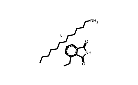 CCCCCCCCCCCCN.CCc1cccc2c1C(=O)NC2=O.N